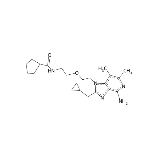 Cc1nc(N)c2nc(CC3CC3)n(CCOCCNC(=O)C3CCCC3)c2c1C